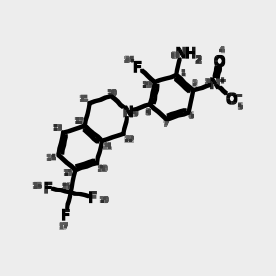 Nc1c([N+](=O)[O-])ccc(N2CCc3ccc(C(F)(F)F)cc3C2)c1F